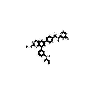 C=CC(=O)Nc1cccc(-c2cc(-c3ccc(C(=O)Nc4cc(C)ccn4)cc3)cc3cnc(N)nc23)c1